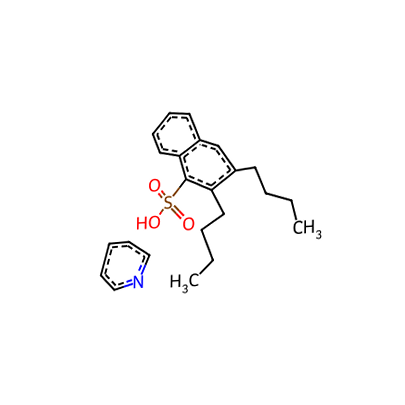 CCCCc1cc2ccccc2c(S(=O)(=O)O)c1CCCC.c1ccncc1